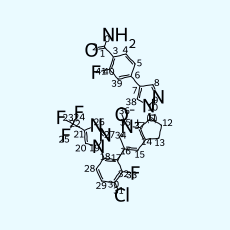 NC(=O)c1ccc(-c2cnn([C@H]3CCc4cc(-c5c(-n6cc(C(F)(F)F)nn6)ccc(Cl)c5F)c[n+]([O-])c43)c2)cc1F